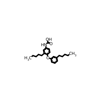 CCCCCc1cccc(Oc2ccc(NC(=O)O)cc2CCCCC)c1